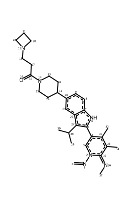 C=Nn1cc(-c2[nH]c3ccc(C4CCN(C(=O)CCN5CCC5)CC4)cc3c2C(C)C)c(C)c(C)/c1=N/C